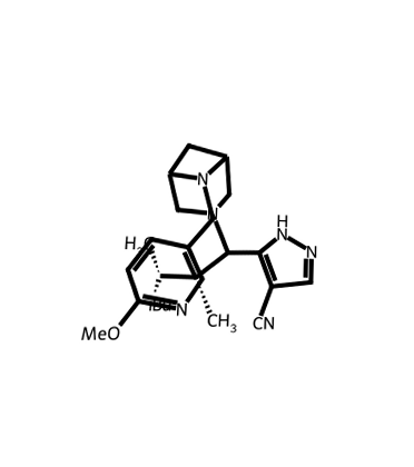 CC[C@@H](C)[C@H](C)[C@@H](C)C(c1[nH]ncc1C#N)N1CC2CC(C1)N2Cc1ccc(OC)nc1